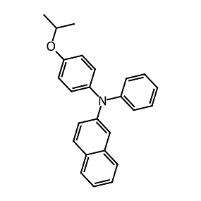 CC(C)Oc1ccc(N(c2ccccc2)c2ccc3ccccc3c2)cc1